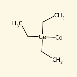 C[CH2][Ge]([Co])([CH2]C)[CH2]C